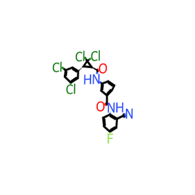 N#Cc1cc(F)ccc1NC(=O)c1cccc(NC(=O)[C@H]2[C@H](c3cc(Cl)cc(Cl)c3)C2(Cl)Cl)c1